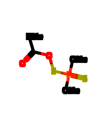 CNC(=O)OSP(=S)(OC)OC